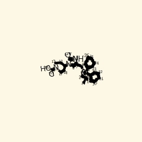 CC(C)(C)[Si](OCc1cn(C2CCN(C(=O)O)CC2)c(=O)[nH]1)(c1ccccc1)c1ccccc1